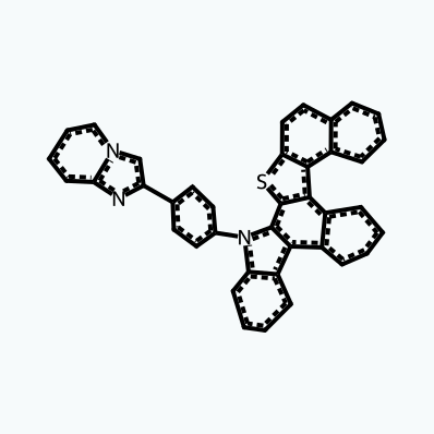 c1ccc2c(c1)ccc1sc3c(c4ccccc4c4c5ccccc5n(-c5ccc(-c6cn7ccccc7n6)cc5)c34)c12